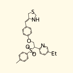 CCc1ccc(C(COc2ccc(C=C3CSCN3)cc2)S(=O)(=O)c2ccc(C)cc2)nc1